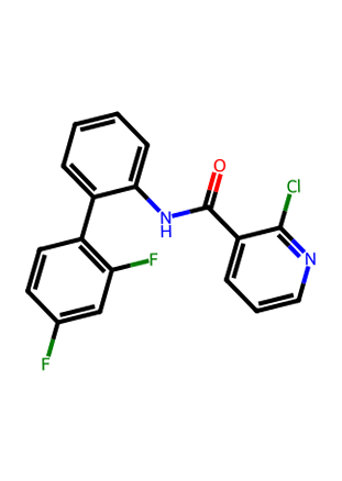 O=C(Nc1ccccc1-c1ccc(F)cc1F)c1cccnc1Cl